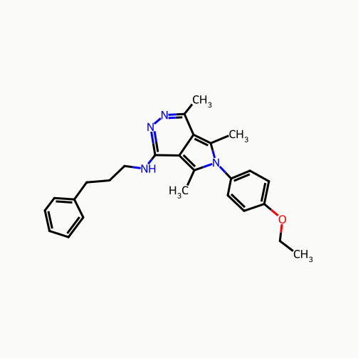 CCOc1ccc(-n2c(C)c3c(C)nnc(NCCCc4ccccc4)c3c2C)cc1